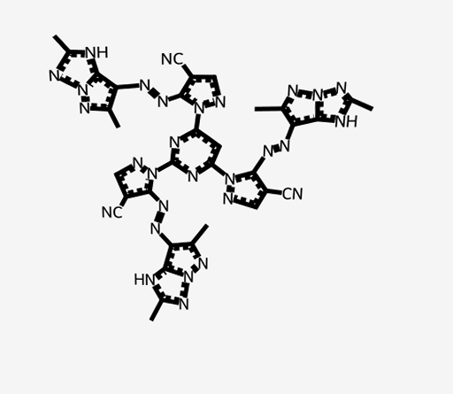 Cc1nn2nc(C)c(/N=N/c3c(C#N)cnn3-c3cc(-n4ncc(C#N)c4/N=N/c4c(C)nn5nc(C)[nH]c45)nc(-n4ncc(C#N)c4/N=N/c4c(C)nn5nc(C)[nH]c45)n3)c2[nH]1